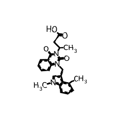 Cc1cccc2c1c(Cn1c(=O)n(C(C)CC(=O)O)c(=O)c3ccccc31)cn2C